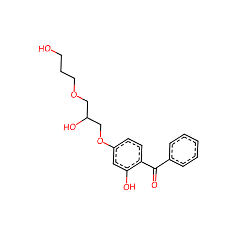 O=C(c1ccccc1)c1ccc(OCC(O)COCCCO)cc1O